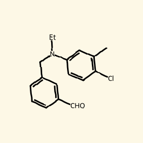 CCN(Cc1cccc(C=O)c1)c1ccc(Cl)c(C)c1